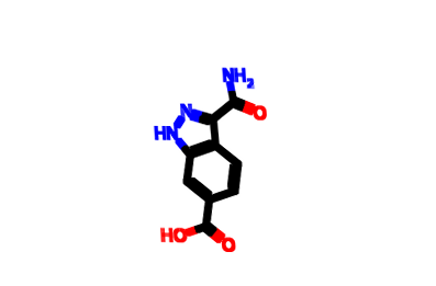 NC(=O)c1n[nH]c2cc(C(=O)O)ccc12